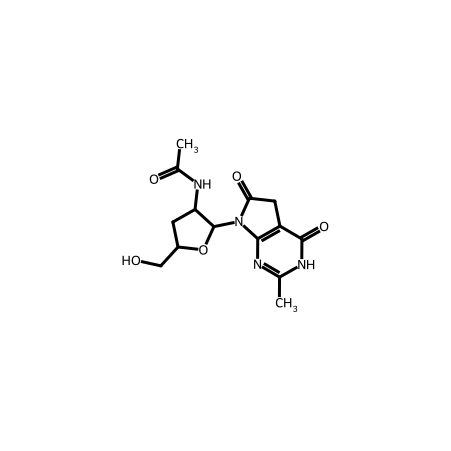 CC(=O)NC1CC(CO)OC1N1C(=O)Cc2c1nc(C)[nH]c2=O